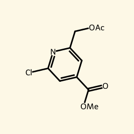 COC(=O)c1cc(Cl)nc(COC(C)=O)c1